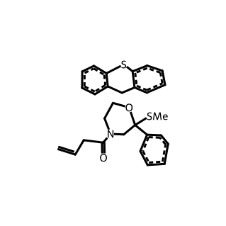 C=CCC(=O)N1CCOC(SC)(c2ccccc2)C1.c1ccc2c(c1)Cc1ccccc1S2